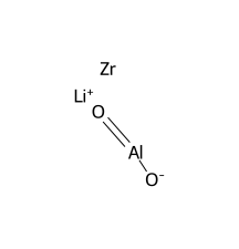 [Li+].[O]=[Al][O-].[Zr]